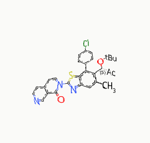 CC(=O)[C@@H](OC(C)(C)C)c1c(C)cc2nc(-n3ccc4ccncc4c3=O)sc2c1-c1ccc(Cl)cc1